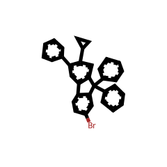 Brc1ccc2c(c1)C(c1ccccc1)(c1ccccc1)c1cc(C3CC3)c(-c3ccccc3)cc1-2